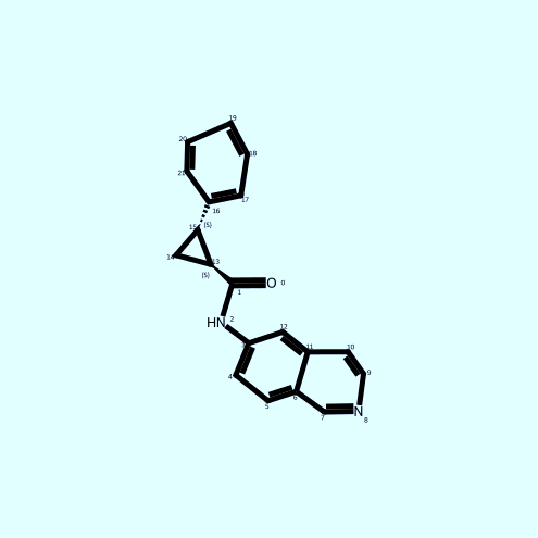 O=C(Nc1ccc2cnccc2c1)[C@H]1C[C@@H]1c1ccccc1